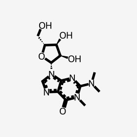 CN(C)c1nc2c(ncn2[C@@H]2O[C@H](CO)[C@@H](O)[C@H]2O)c(=O)n1C